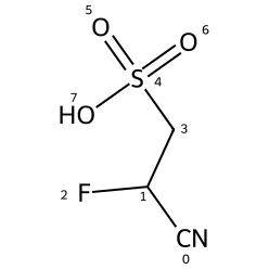 N#CC(F)CS(=O)(=O)O